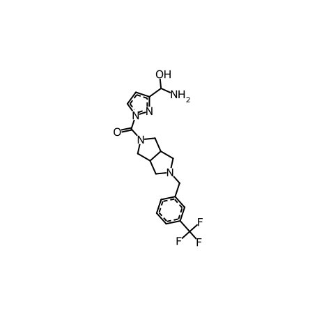 NC(O)c1ccn(C(=O)N2CC3CN(Cc4cccc(C(F)(F)F)c4)CC3C2)n1